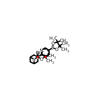 CC(C)(C)OC(=O)N1C2CC1CN(c1ccc(B3OC(C)(C)C(C)(C)O3)cn1)C2